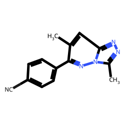 Cc1cc2nnc(C)n2nc1-c1ccc(C#N)cc1